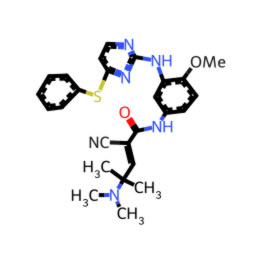 COc1ccc(NC(=O)/C(C#N)=C/C(C)(C)N(C)C)cc1Nc1nccc(Sc2ccccc2)n1